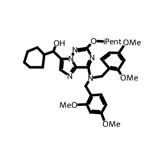 CCCC(C)Oc1nc(N(Cc2ccc(OC)cc2OC)Cc2ccc(OC)cc2OC)c2ncc(C(O)C3CCCCC3)n2n1